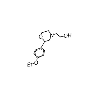 CCOc1ccc(C2CN(CCO)CCO2)cc1